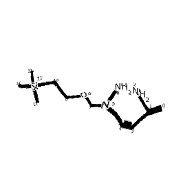 C=C(N)/C=C\N(N)COCC[Si](C)(C)C